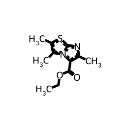 CCOC(=O)c1c(C)nc2sc(C)c(C)n12